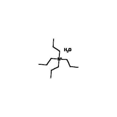 CCC[N+](CCC)(CCC)CCC.O